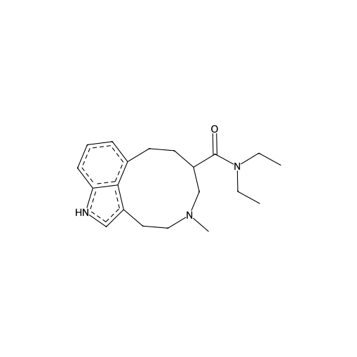 CCN(CC)C(=O)C1CCc2cccc3[nH]cc(c23)CCN(C)C1